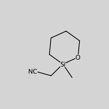 C[Si]1(CC#N)CCCCO1